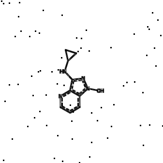 On1nc(NC2CC2)c2ncccc21